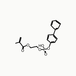 C=C(C)C(=O)OCCOP(=O)(O)Oc1ccc(-c2ccccc2)cc1